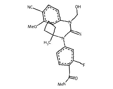 CNC(=O)c1ccc(N(C(=S)N(CO)c2ccc(C#N)c(OC)c2)C2(C)CCC2)cc1F